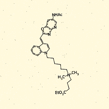 CCOC(=O)CCC[N+](C)(C)CCCCCCN1C=CC(=Cc2nc3ncc(NC(C)=O)cc3o2)c2ccccc21